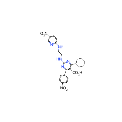 O=C(O)c1c(-c2ccc([N+](=O)[O-])cc2)nc(NCCNc2ccc([N+](=O)[O-])cn2)nc1C1CCCCC1